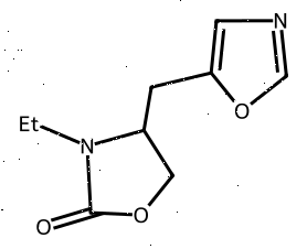 CCN1C(=O)OCC1Cc1cnco1